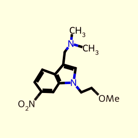 COCCn1cc(CN(C)C)c2ccc([N+](=O)[O-])cc21